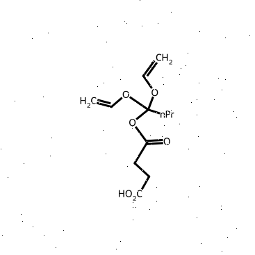 C=COC(CCC)(OC=C)OC(=O)CCC(=O)O